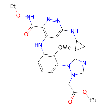 CCONC(=O)c1nnc(NC2CC2)cc1Nc1cccc(N2CN=CN2CC(=O)OC(C)(C)C)c1OC